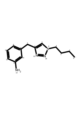 [CH2]CCCn1cc(Cc2cccc(N)c2)nn1